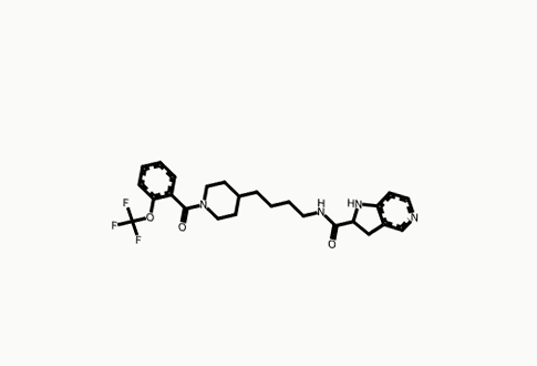 O=C(NCCCCC1CCN(C(=O)c2ccccc2OC(F)(F)F)CC1)C1Cc2cnccc2N1